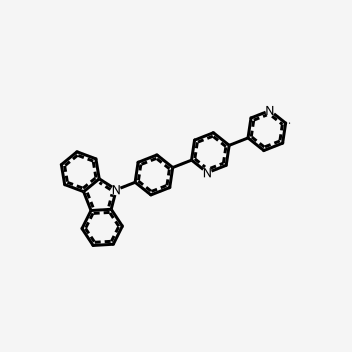 [c]1ccc(-c2ccc(-c3ccc(-n4c5ccccc5c5ccccc54)cc3)nc2)cn1